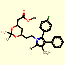 CC(C)c1c(C(=O)O)c(-c2ccccc2)c(-c2ccc(F)cc2)n1CCC1CC(CC(=O)OC(C)(C)C)OC(C)(C)O1